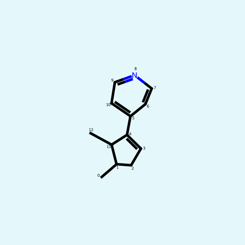 CC1CC=C(c2ccncc2)C1C